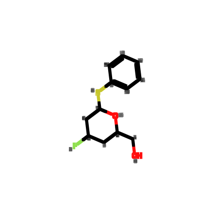 OCC1CC(F)CC(Sc2ccccc2)O1